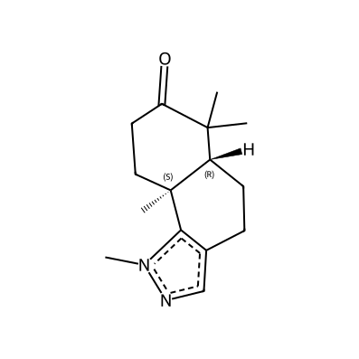 Cn1ncc2c1[C@@]1(C)CCC(=O)C(C)(C)[C@@H]1CC2